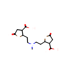 CN(CCC1SC(=O)CC1C(=O)O)CCC1SC(=O)CC1C(=O)O